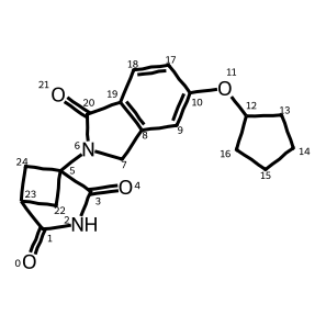 O=C1NC(=O)C2(N3Cc4cc(OC5CCCC5)ccc4C3=O)CC1C2